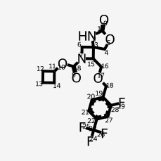 O=C1NC2(CO1)CN(C(=O)OC1CCC1)C2COCc1ccc(C(F)(F)F)cc1F